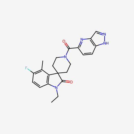 CCN1C(=O)C2(CCN(C(=O)c3ccc4[nH]ncc4n3)CC2)c2c1ccc(F)c2C